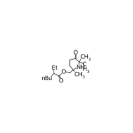 CCCCC(CC)C(=O)OCC1(C)CCC(=O)C(C)(C)N1